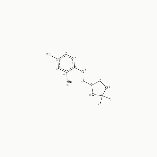 CC1(C)OCC(COc2ccc(F)cc2C(C)(C)C)O1